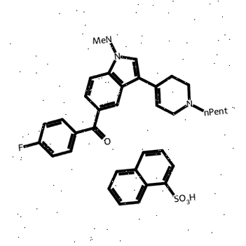 CCCCCN1CC=C(c2cn(NC)c3ccc(C(=O)c4ccc(F)cc4)cc23)CC1.O=S(=O)(O)c1cccc2ccccc12